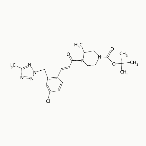 Cc1nnn(Cc2cc(Cl)ccc2/C=C/C(=O)N2CCN(C(=O)OC(C)(C)C)CC2C)n1